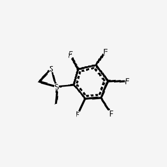 CS1(c2c(F)c(F)c(F)c(F)c2F)CS1